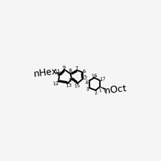 CCCCCCCC[C@H]1CC[C@H](c2ccc3cc(CCCCCC)ccc3c2)CC1